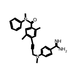 Cc1cc(C(=O)N(C)c2ccccc2)c(C)cc1C#CCN(C)c1ccc(C(=N)N)cc1